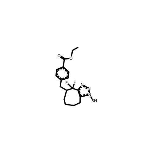 CCOC(=O)c1ccc(CC2CCCCc3c(nnn3S)C2(F)F)cc1